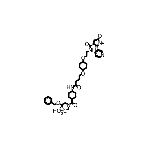 CN1C(=O)C[C@H](C(=O)NCCOC2CCC(OCCCC(=O)NC3CCC(C(=O)N(CC(=O)O)CC(=O)OCc4ccccc4)CC3)CC2)[C@H]1c1cccnc1